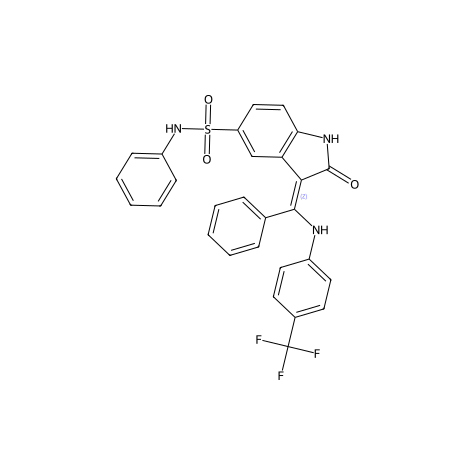 O=C1Nc2ccc(S(=O)(=O)Nc3ccccc3)cc2/C1=C(/Nc1ccc(C(F)(F)F)cc1)c1ccccc1